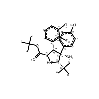 CC(C)(C)OC(=O)[C@@H]1N[C@@H](C(C)(C)C)[C@](N)(c2ccc(Cl)cc2)[C@H]1c1cccc(Cl)c1F